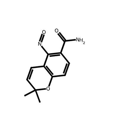 CC1(C)C=Cc2c(ccc(C(N)=O)c2N=O)O1